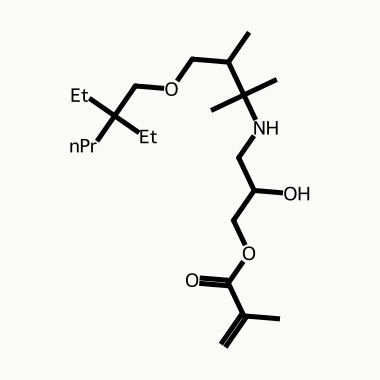 C=C(C)C(=O)OCC(O)CNC(C)(C)C(C)COCC(CC)(CC)CCC